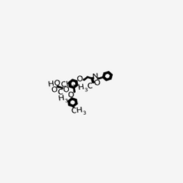 Cc1ccc(OCc2cc(OCCc3nc(-c4ccccc4)oc3C)ccc2OC(C)(C)C(=O)O)cc1